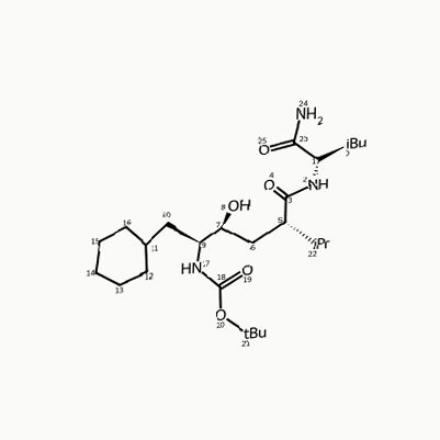 CC[C@H](C)[C@H](NC(=O)[C@@H](C[C@H](O)[C@H](CC1CCCCC1)NC(=O)OC(C)(C)C)C(C)C)C(N)=O